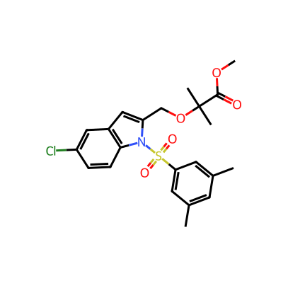 COC(=O)C(C)(C)OCc1cc2cc(Cl)ccc2n1S(=O)(=O)c1cc(C)cc(C)c1